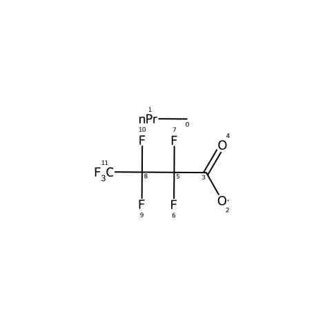 CCCC.[O]C(=O)C(F)(F)C(F)(F)C(F)(F)F